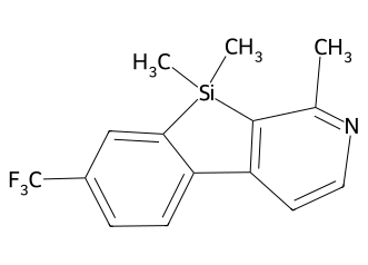 Cc1nccc2c1[Si](C)(C)c1cc(C(F)(F)F)ccc1-2